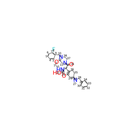 CCOc1cccc(F)c1CN1CCN(C(=O)C(NC(=O)O)C2CCC(N(C)Cc3ccccc3)CC2)CC1